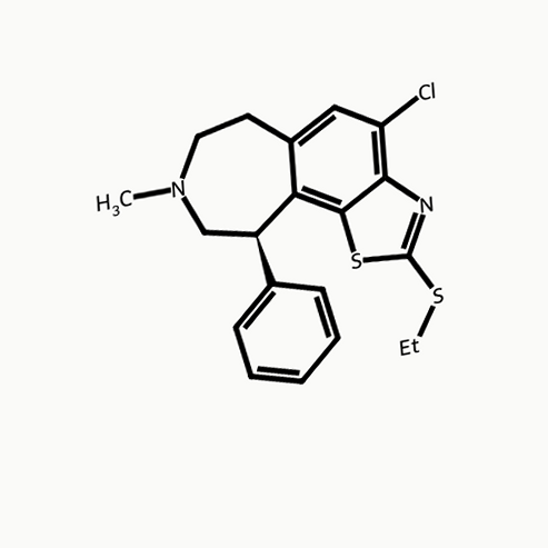 CCSc1nc2c(Cl)cc3c(c2s1)[C@@H](c1ccccc1)CN(C)CC3